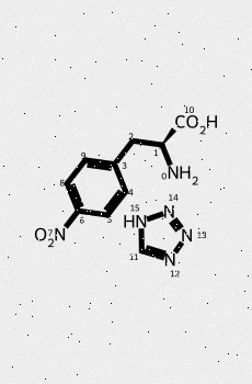 N[C@@H](Cc1ccc([N+](=O)[O-])cc1)C(=O)O.c1nnn[nH]1